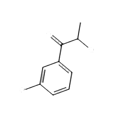 CC(Cl)C(=O)c1cccc(Cl)c1